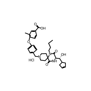 CCCCN1C(=O)[C@@H]([C@H](O)C2CC=CC2)NC(=O)C12CCN(Cc1ccc(Oc3ccc(C(=O)O)cc3C)cc1)CC2.Cl